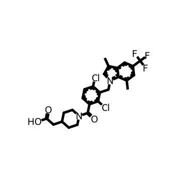 Cc1cn(Cc2c(Cl)ccc(C(=O)N3CCC(CC(=O)O)CC3)c2Cl)c2c(C)cc(C(F)(F)F)cc12